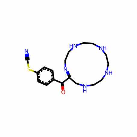 N#CSc1ccc(C(=O)C2=NCCNCCNCCNCCNC2)cc1